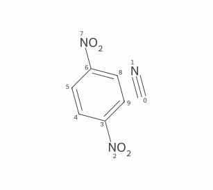 C#N.O=[N+]([O-])c1ccc([N+](=O)[O-])cc1